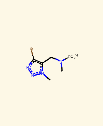 CN(Cc1c(Br)nnn1C)C(=O)O